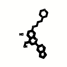 Cl.O/N=c1\cc(-c2cc3cccn3cn2)oc2cc(OCCCN3CCOCC3)ccc12